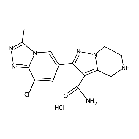 Cc1nnc2c(Cl)cc(-c3nn4c(c3C(N)=O)CNCC4)cn12.Cl